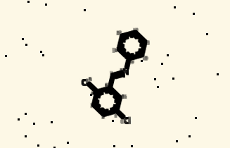 Clc1ccc(Cl)c(C=Nc2ccccc2)c1